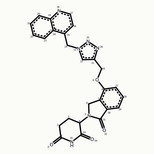 O=C1CCC(N2Cc3c(OCc4cn(Cc5ccnc6ccccc56)nn4)cccc3C2=O)C(=O)N1